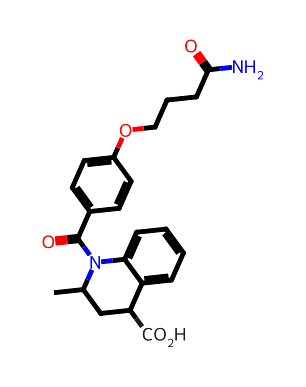 CC1CC(C(=O)O)c2ccccc2N1C(=O)c1ccc(OCCCC(N)=O)cc1